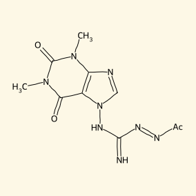 CC(=O)N=NC(=N)Nn1cnc2c1c(=O)n(C)c(=O)n2C